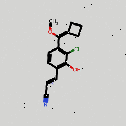 COC(=C1CCC1)c1ccc(/C=C/C#N)c(O)c1Cl